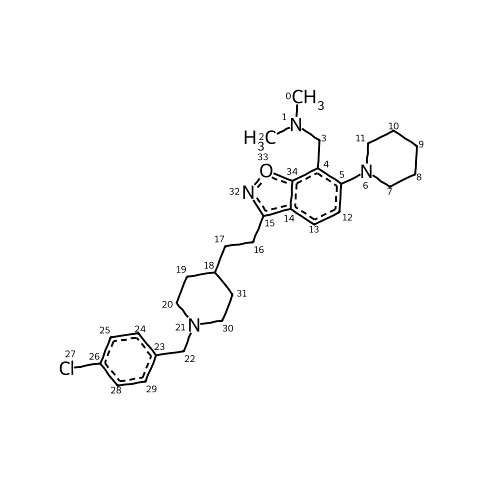 CN(C)Cc1c(N2CCCCC2)ccc2c(CCC3CCN(Cc4ccc(Cl)cc4)CC3)noc12